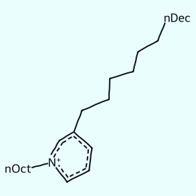 CCCCCCCCCCCCCCCCc1ccc[n+](CCCCCCCC)c1